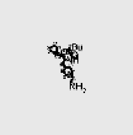 CC(C)(C)OC(=O)NC(CC1CCN(CCN)CC1)C(=O)OC1CCCC1